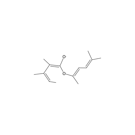 CC=C(C)C(C)=C([O])OC(C)=CC=C(C)C